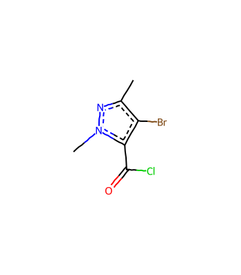 Cc1nn(C)c(C(=O)Cl)c1Br